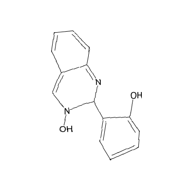 Oc1ccccc1C1N=c2ccccc2=CN1O